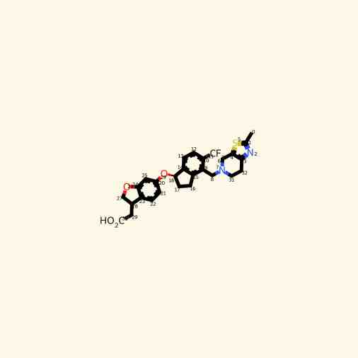 Cc1nc2c(s1)CN(Cc1c(C(F)(F)F)ccc3c1CC[C@H]3Oc1ccc3c(c1)OCC3CC(=O)O)CC2